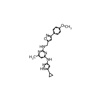 COc1ccc(-c2cc(CNc3nc(C)cc(Nc4cc(C5CC5)[nH]n4)n3)on2)cc1